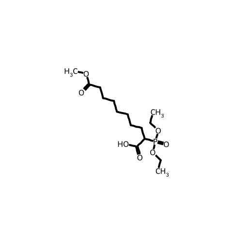 CCOP(=O)(OCC)C(CCCCCCCC(=O)OC)C(=O)O